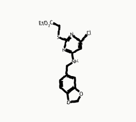 CCOC(=O)CSc1nc(Cl)cc(NCc2ccc3c(c2)OCO3)n1